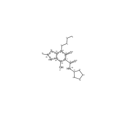 CCCCn1c(=O)c(C(=O)NC2CCCC2)c(O)c2nn(C)cc21